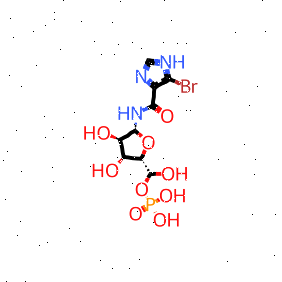 O=C(N[C@@H]1O[C@H](C(O)OP(=O)(O)O)[C@@H](O)[C@H]1O)c1nc[nH]c1Br